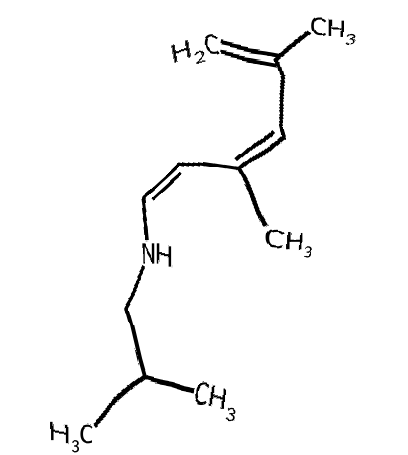 C=C(C)/C=C(C)\C=C/NCC(C)C